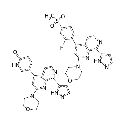 CS(=O)(=O)c1ccc(-c2cc(N3CCOCC3)nc3c(-c4ccn[nH]4)nccc23)c(F)c1.O=c1ccc(-c2cc(N3CCOCC3)nc3c(-c4ccn[nH]4)nccc23)c[nH]1